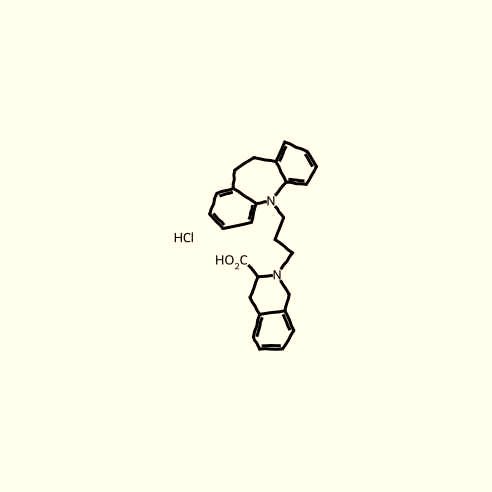 Cl.O=C(O)C1Cc2ccccc2CN1CCCN1c2ccccc2CCc2ccccc21